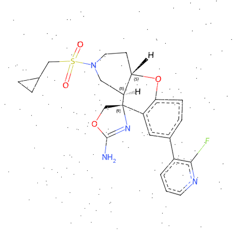 NC1=N[C@@]2(CO1)c1cc(-c3cccnc3F)ccc1O[C@H]1CCN(S(=O)(=O)CC3CC3)C[C@@H]12